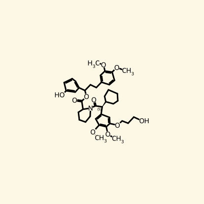 COc1ccc(CCC(OC(=O)C2CCCCN2C(=O)[C@H](c2cc(OC)c(OC)c(OCCCO)c2)C2CCCCC2)c2cccc(O)c2)cc1OC